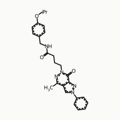 Cc1nn(CCCC(=O)NCc2ccc(OC(C)C)cc2)c(=O)c2nn(-c3ccccc3)cc12